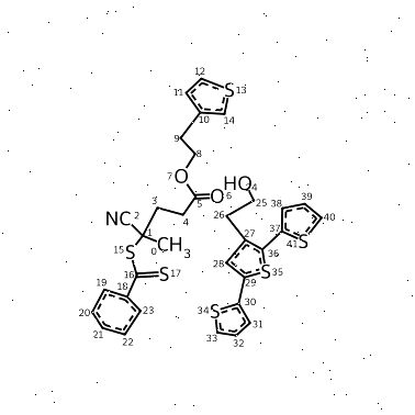 CC(C#N)(CCC(=O)OCCc1ccsc1)SC(=S)c1ccccc1.OCCc1cc(-c2cccs2)sc1-c1cccs1